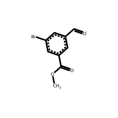 COC(=O)c1cc(Br)cc(C=O)c1